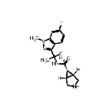 Cn1nc(C(C)(C)NC(=O)[C@H]2[C@@H]3CNC[C@@H]32)c2ccc(F)cc21